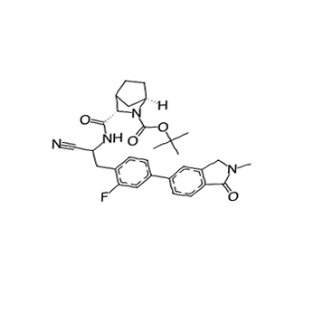 CN1Cc2cc(-c3ccc(CC(C#N)NC(=O)[C@@H]4C5CC[C@H](C5)N4C(=O)OC(C)(C)C)c(F)c3)ccc2C1=O